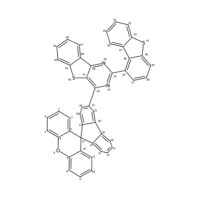 c1ccc2c(c1)Oc1ccccc1C21c2ccccc2-c2cc(-c3nc(-c4cccc5sc6ccccc6c45)nc4c3sc3ccccc34)ccc21